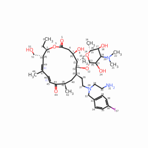 CC[C@H]1OC(=O)C[C@@H](O)[C@H](C)[C@@H](O[C@@H]2O[C@H](C)C(O)C(N(C)C)C2O)[C@@H](CCN(CCN)Cc2ccc(I)cc2)C[C@@H](C)C(=O)/C=C/C(C)=C/[C@@H]1CO